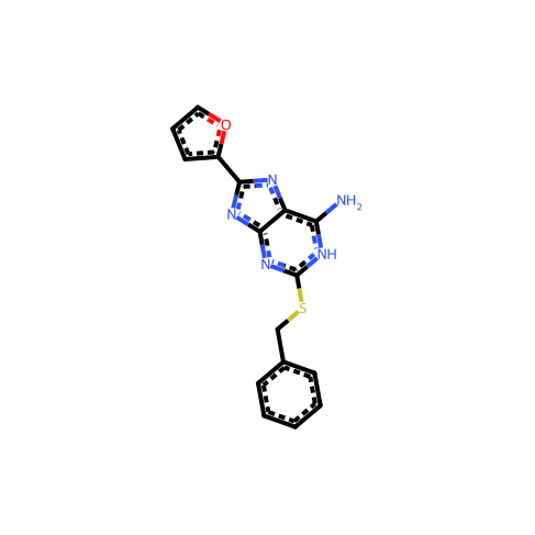 Nc1[nH]c(SCc2ccccc2)nc2nc(-c3ccco3)nc1-2